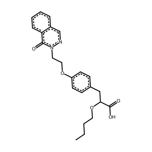 CCCCOC(Cc1ccc(OCCn2ncc3ccccc3c2=O)cc1)C(=O)O